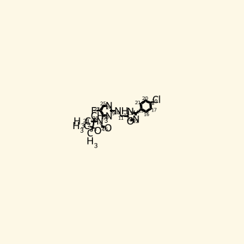 CC1(C)OC(=O)N(c2nc(NCc3nc(-c4ccc(Cl)cc4)no3)ncc2F)C1(C)C